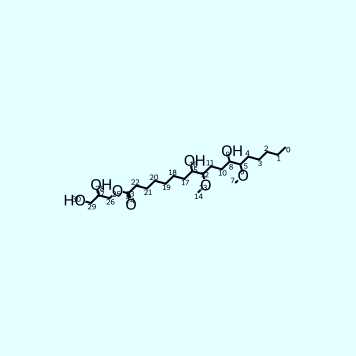 CCCCCC(OC)C(O)CCC(OC)C(O)CCCCCCC(=O)OCC(O)CO